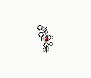 CC(C)(C)[Si](OC[C@]12COC([C@H](n3ccc(=O)[nH]c3=O)O1)[C@H]2O)(c1ccccc1)c1ccccc1